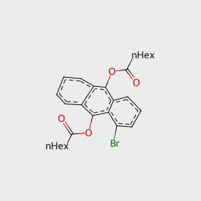 CCCCCCC(=O)Oc1c2ccccc2c(OC(=O)CCCCCC)c2c(Br)cccc12